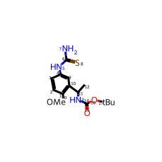 COc1ccc(NC(N)=S)cc1C(C)NC(=O)OC(C)(C)C